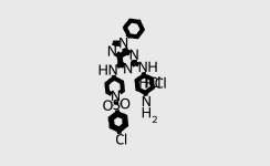 Cl.Cl.NC1CCC(Nc2nc(NC3CCN(S(=O)(=O)c4ccc(Cl)cc4)CC3)c3ncn(C4CCCCC4)c3n2)CC1